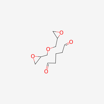 C(OCC1CO1)C1CO1.O=CCCCC=O